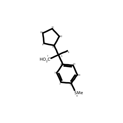 CSc1ccc(C(C)(C(=O)O)C2CCCC2)cc1